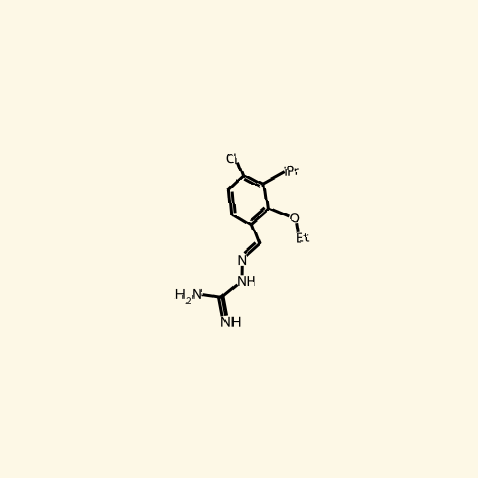 CCOc1c(C=NNC(=N)N)ccc(Cl)c1C(C)C